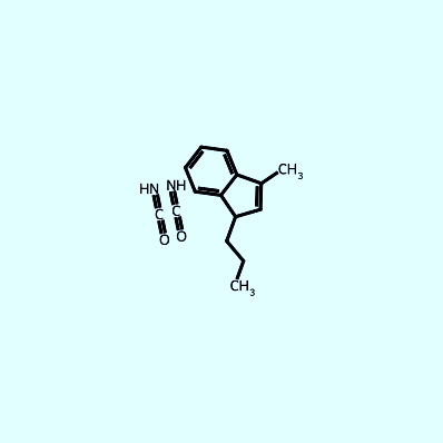 CCCC1C=C(C)c2ccccc21.N=C=O.N=C=O